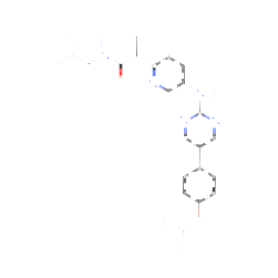 CC(O)CNC(=O)C(CO)c1ccc(Nc2ncc(-c3ccc(OC(F)F)cc3)cn2)cn1